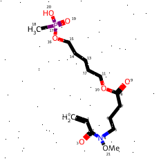 C=CC(=O)N(CCCC(=O)OCCCCCOP(C)(=O)O)OC